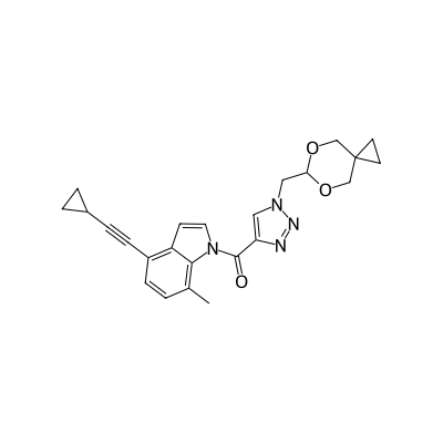 Cc1ccc(C#CC2CC2)c2ccn(C(=O)c3cn(CC4OCC5(CC5)CO4)nn3)c12